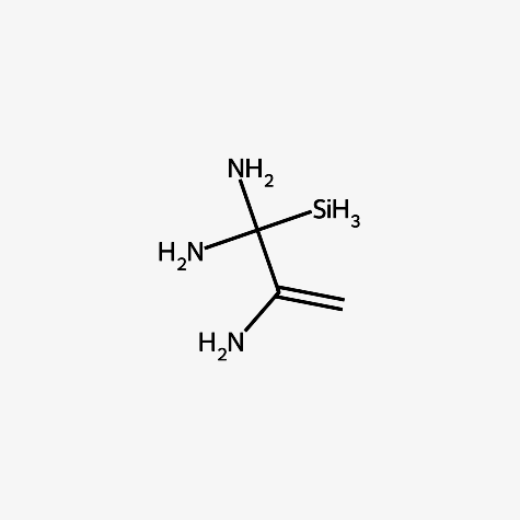 C=C(N)C(N)(N)[SiH3]